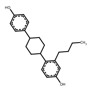 CCCCc1cc(O)ccc1C1CCC(c2ccc(O)cc2)CC1